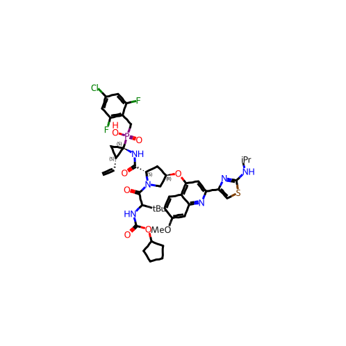 C=C[C@@H]1C[C@]1(NC(=O)[C@@H]1C[C@@H](Oc2cc(-c3csc(NC(C)C)n3)nc3cc(OC)ccc23)CN1C(=O)C(NC(=O)OC1CCCC1)C(C)(C)C)P(=O)(O)Cc1c(F)cc(Cl)cc1F